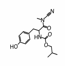 CC(C)COC(=O)NC(Cc1ccc(O)cc1)C(=O)N(C)C#N